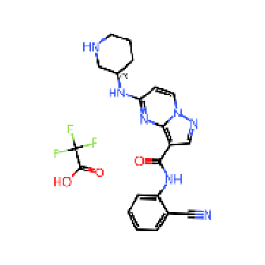 N#Cc1ccccc1NC(=O)c1cnn2ccc(N[C@@H]3CCCNC3)nc12.O=C(O)C(F)(F)F